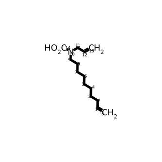 C=CCCCCCCCCN(CC=C)C(=O)O